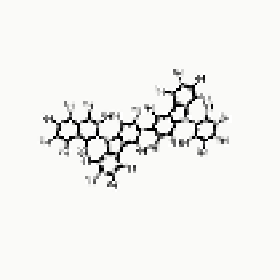 [2H]c1c([2H])c([2H])c(-n2c3c([2H])c([2H])c([2H])c([2H])c3c3c([2H])c(-c4c([2H])c([2H])c5c(c4[2H])c4c([2H])c([2H])c([2H])c([2H])c4n5-c4c([2H])c([2H])c5c([2H])c([2H])c([2H])c([2H])c5c4[2H])c([2H])c([2H])c32)c([2H])c1[2H]